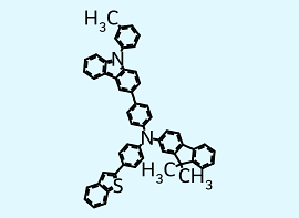 Cc1cccc(-n2c3ccccc3c3cc(-c4ccc(N(c5ccc(-c6cc7ccccc7s6)cc5)c5ccc6c(c5)C(C)(C)c5ccccc5-6)cc4)ccc32)c1